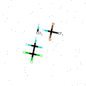 FC(Cl)(Cl)Cl.FC(F)(F)C(Cl)(Cl)Cl.FC(F)(F)C(F)(Br)Br